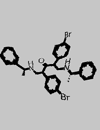 C[C@H](NCC(C(=O)C(CN[C@@H](C)c1ccccc1)c1ccc(Br)cc1)c1ccc(Br)cc1)c1ccccc1